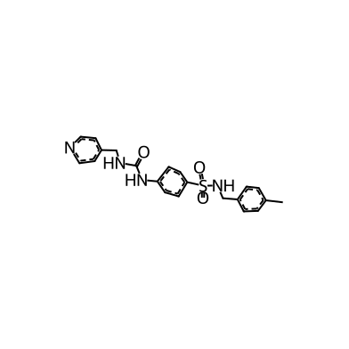 Cc1ccc(CNS(=O)(=O)c2ccc(NC(=O)NCc3ccncc3)cc2)cc1